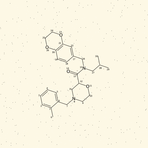 Cc1ccccc1CN1CCOC(C(=O)N(Cc2ccc3c(c2)OCCO3)CC(C)C)C1